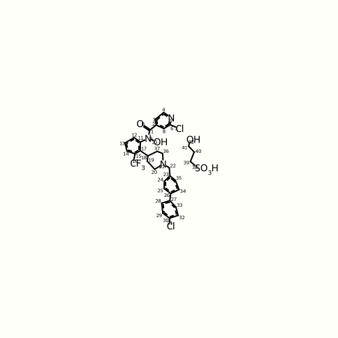 O=C(c1ccnc(Cl)c1)N(O)c1cccc(C(F)(F)F)c1C1CCN(Cc2ccc(-c3ccc(Cl)cc3)cc2)CC1.O=S(=O)(O)CCCO